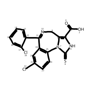 O=C(O)c1[nH]c(=S)n2c1CN=C(c1ccccc1Cl)c1cc(Cl)ccc1-2